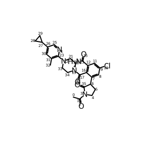 CC(=O)N1CCC(c2cc(Cl)cc(C(N)=O)c2C(=O)N2CCN(c3ncc(C4CC4)cc3C)CC2)C1=O